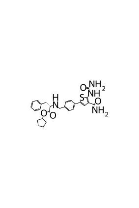 NC(=O)Nc1sc(-c2ccc(CN[C@@H](Cc3ccccc3)C(=O)OC3CCCC3)cc2)cc1C(N)=O